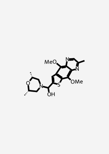 COc1c2cc(C(O)N3C[C@@H](C)O[C@@H](C)C3)sc2c(OC)c2nc(C)cnc12